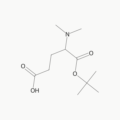 CN(C)C(CCC(=O)O)C(=O)OC(C)(C)C